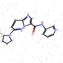 O=C(Nc1cccnc1)c1cnc2ccc(N3CCC[C@@H]3C(F)(F)F)nn12